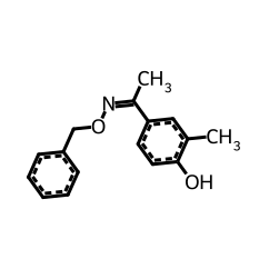 C/C(=N/OCc1ccccc1)c1ccc(O)c(C)c1